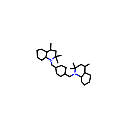 CC1CC(C)(C)N(CC2CCC(CN3C4CCCCC4C(C)CC3(C)C)CC2)C2CCCCC12